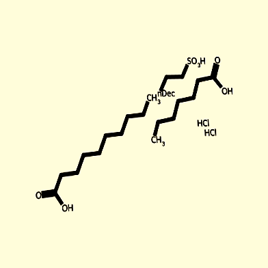 CCCCCCC(=O)O.CCCCCCCCCC(=O)O.CCCCCCCCCCCCS(=O)(=O)O.Cl.Cl